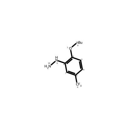 CCCCOc1ccc(C(F)(F)F)cc1NN